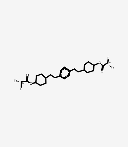 CC[C@@H](F)C(=O)OC1CCC(CCc2ccc(CCC3CCC(OC(=O)[C@H](F)CC)CC3)cc2)CC1